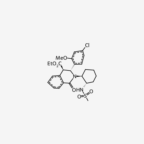 CCOC(=O)[C@@H]1c2ccccc2C(=O)N([C@H]2CCCC[C@@H]2NS(C)(=O)=O)[C@H]1c1ccc(Cl)cc1OC